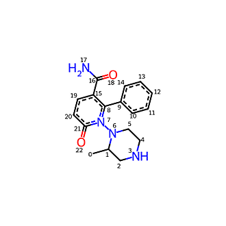 CC1CNCCN1n1c(-c2ccccc2)c(C(N)=O)ccc1=O